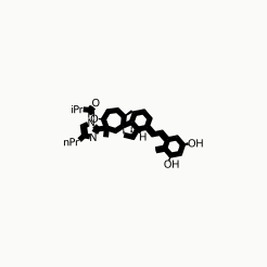 C=C1/C(=C\C=C2/CCC[C@@]3(C)[C@H]2CC[C@@]32CC(C)(c3nc(CCC)c[nH]3)[C@H](OC(=O)C(C)C)CC[C@H]2C)C[C@@H](O)C[C@@H]1O